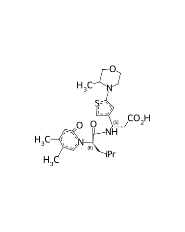 Cc1cc(=O)n([C@H](CC(C)C)C(=O)N[C@@H](CC(=O)O)c2csc(N3CCOCC3C)c2)cc1C